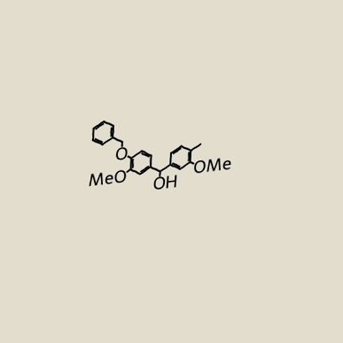 COc1cc(C(O)c2ccc(OCc3ccccc3)c(OC)c2)ccc1C